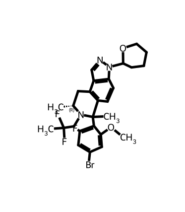 COc1cc(Br)cc(F)c1C1(C)c2ccc3c(cnn3C3CCCCO3)c2C[C@@H](C)N1CC(C)(F)F